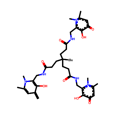 C=C1C=C(C)N(C)C(CNC(=O)CCC(CCC(=O)NCc2c(O)c(=O)cc(C)n2C)(CCC(=O)NCc2c(O)c(=O)cc(C)n2C)C(C)(C)C)=C1O